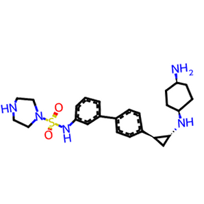 N[C@H]1CC[C@@H](N[C@@H]2C[C@H]2c2ccc(-c3cccc(NS(=O)(=O)N4CCNCC4)c3)cc2)CC1